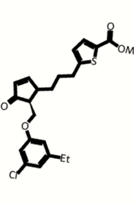 CCc1cc(Cl)cc(OC[C@H]2C(=O)C=CC2CCCc2ccc(C(=O)OC)s2)c1